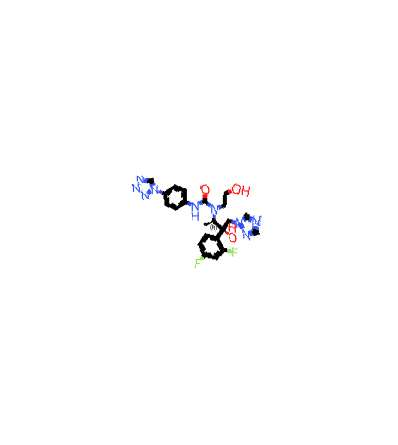 C[C@@H](N(CCO)C(=O)Nc1ccc(-n2cnnn2)cc1)[C@](O)(Cn1cncn1)c1ccc(F)cc1F